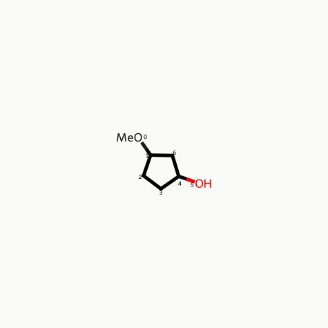 COC1CCC(O)C1